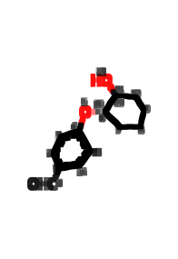 O=Cc1ccc(O[C@H]2CCCC[C@@H]2O)cc1